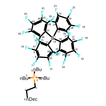 CCCCCCCCCCCC[P+](CCCC)(CCCC)CCCC.Fc1c(F)c(F)c([B-](c2c(F)c(F)c(F)c(F)c2F)(c2c(F)c(F)c(F)c(F)c2F)c2c(F)c(F)c(F)c(F)c2F)c(F)c1F